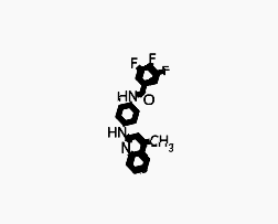 Cc1cc(N[C@H]2CC[C@@H](NC(=O)c3cc(F)c(F)c(F)c3)CC2)nc2ccccc12